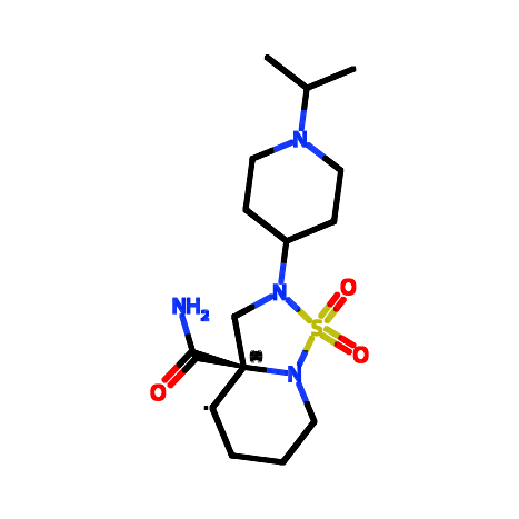 CC(C)N1CCC(N2C[C@@]3(C(N)=O)[CH]CCCN3S2(=O)=O)CC1